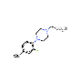 CCOC(=O)CN1CCN(c2ccc(C(C)(C)C)cc2F)CC1